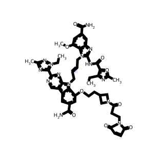 CCc1nc(C)oc1C(=O)Nc1nc2cc(C(N)=O)cc(OC)c2n1C/C=C/Cn1c2nc(-c3nc(C)nn3CC)ncc2c2cc(C(N)=O)cc(OCCC3CN(C(=O)CCN4C(=O)C=CC4=O)C3)c21